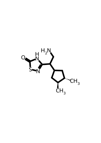 C[C@H]1CC(C(CN)c2nsc(=O)[nH]2)C[C@@H]1C